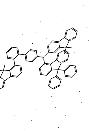 CC1(C)c2ccccc2-c2ccc(N(c3ccc(-c4ccccc4-c4cccc5c4C(C)(C)c4ccccc4-5)cc3)c3cccc4c3-c3ccccc3C4(c3ccccc3)c3ccccc3)cc21